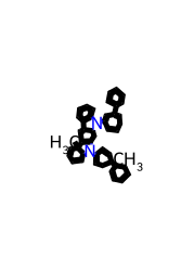 CC1(C2C=CC(N3C4=C(C=C5c6ccccc6N(C6=CC(c7ccccc7)=CCC=C6)C5C4)C4(C)C=CC=CC34)=CC2)C=CC=CC1